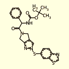 CC(C)(C)OC(=O)NC(C(=O)N1Cc2cn(Sc3ccc4ncsc4c3)nc2C1)c1ccccc1